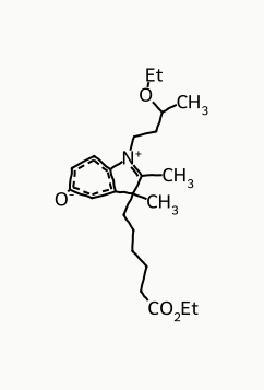 CCOC(=O)CCCCCC1(C)C(C)=[N+](CCC(C)OCC)c2ccc([O-])cc21